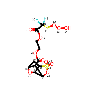 O=C(OCCOC(=O)C(F)(F)SOOO)C1C2CC3C(O2)C1OS3(=O)=O